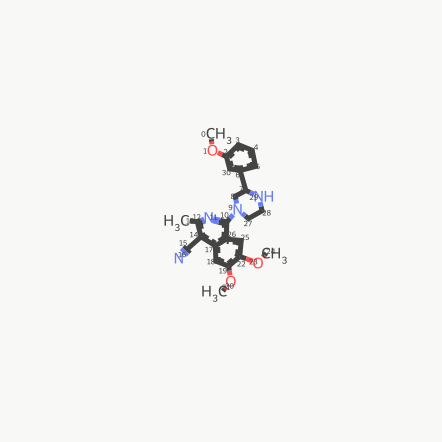 COc1cccc(C2CN(c3nc(C)c(C#N)c4cc(OC)c(OC)cc34)CCN2)c1